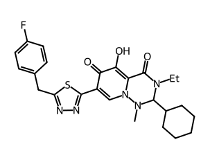 CCN1C(=O)c2c(O)c(=O)c(-c3nnc(Cc4ccc(F)cc4)s3)cn2N(C)C1C1CCCCC1